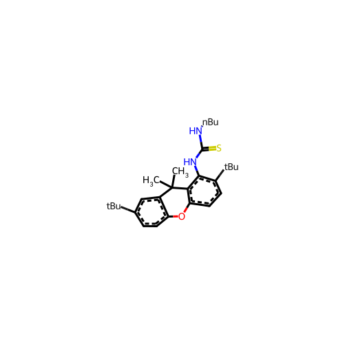 CCCCNC(=S)Nc1c(C(C)(C)C)ccc2c1C(C)(C)c1cc(C(C)(C)C)ccc1O2